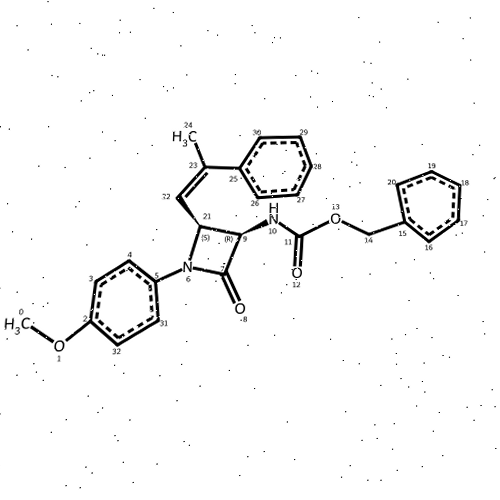 COc1ccc(N2C(=O)[C@H](NC(=O)OCc3ccccc3)[C@@H]2C=C(C)c2ccccc2)cc1